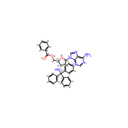 Nc1ncnc2c1ncn2[C@H]1C[C@H](NC(c2ccccc2)(c2ccccc2)c2ccccc2)[C@@H](COC(=O)c2ccccc2)O1